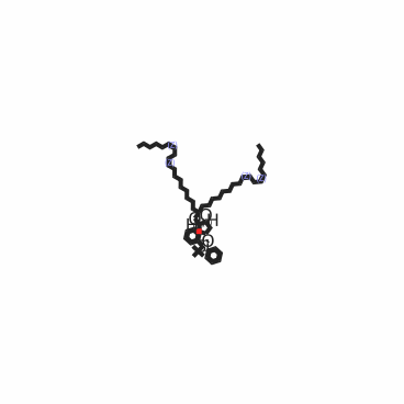 CCCCC/C=C\C/C=C\CCCCCCCCC1(CCCCCCCC/C=C\C/C=C\CCCCC)O[C@H]2CC(O[Si](c3ccccc3)(c3ccccc3)C(C)(C)C)C[C@H]2O1